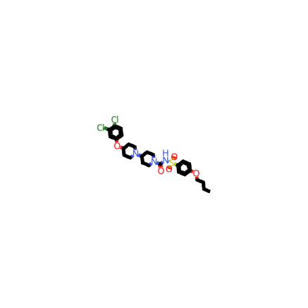 CCCCOc1ccc(S(=O)(=O)NC(=O)N2CCC(N3CCC(Oc4ccc(Cl)c(Cl)c4)CC3)CC2)cc1